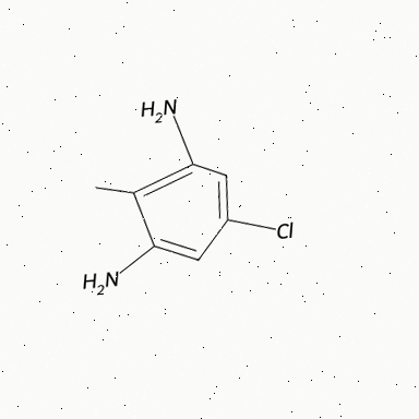 Cc1c(N)cc(Cl)cc1N